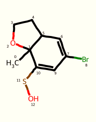 CC12OCCC1C=C(Br)C=C2SO